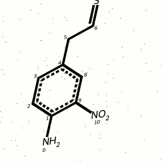 Nc1ccc(CC=S)cc1[N+](=O)[O-]